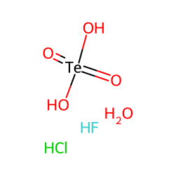 Cl.F.O.O=[Te](=O)(O)O